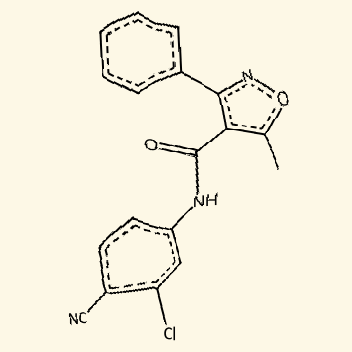 Cc1onc(-c2ccccc2)c1C(=O)Nc1ccc(C#N)c(Cl)c1